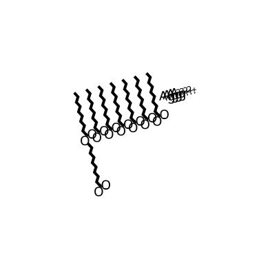 CCCCCCCCCC(=O)[O-].CCCCCCCCCC(=O)[O-].CCCCCCCCCC(=O)[O-].CCCCCCCCCC(=O)[O-].CCCCCCCCCC(=O)[O-].CCCCCCCCCC(=O)[O-].CCCCCCCCCC(=O)[O-].CCCCCCCCCC(=O)[O-].[Ag+2].[Ag+2].[Ag+2].[Ag+2]